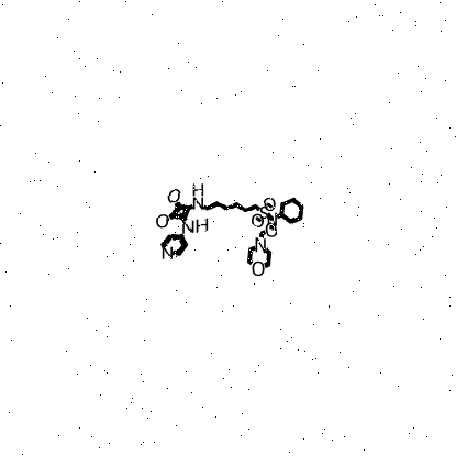 O=c1c(NCCCCCCS(=O)(=O)N(OCN2CCOCC2)C2CCCCC2)c(Nc2ccncc2)c1=O